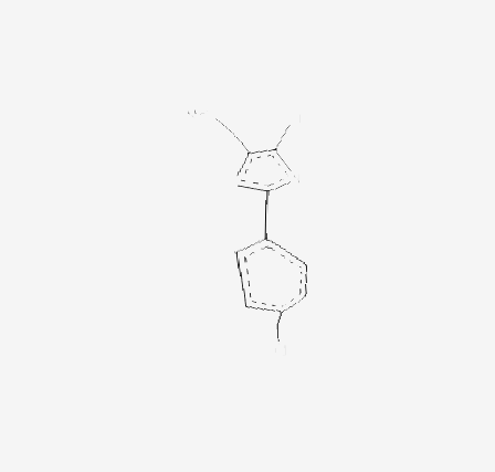 CSc1sc(-c2ccc(Cl)cc2)nc1C